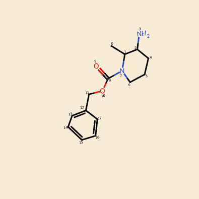 CC1C(N)CCCN1C(=O)OCc1ccccc1